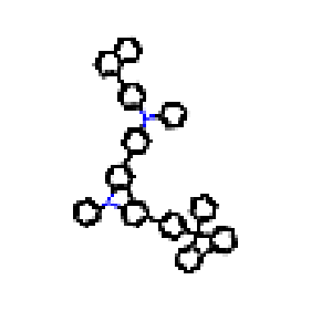 c1ccc(N(c2ccc(-c3ccc4c(c3)c3cc(-c5ccc(C6(c7ccccc7)c7ccccc7-c7ccccc76)cc5)ccc3n4-c3ccccc3)cc2)c2ccc(-c3cccc4ccccc34)cc2)cc1